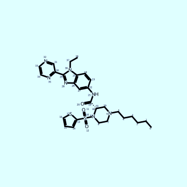 CCCCCCN1CCN(S(=O)(=O)c2cccs2)[C@H](C(=O)Nc2ccc3c(c2)nc(-c2cnccn2)n3CC)C1